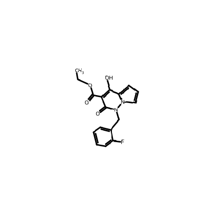 CCOC(=O)c1c(O)c2cccn2n(Cc2ccccc2F)c1=O